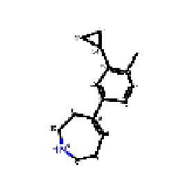 Cc1ccc(C2=CCCNCC2)cc1C1CC1